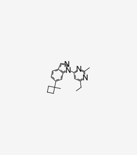 CCc1cc(-n2ncc3ccc(C4(C)CCC4)cc32)nc(C)n1